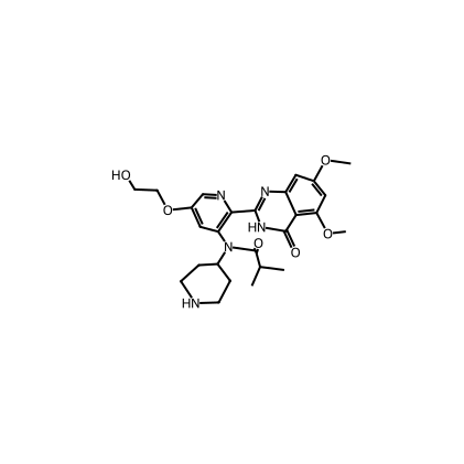 COc1cc(OC)c2c(=O)[nH]c(-c3ncc(OCCO)cc3N(C(=O)C(C)C)C3CCNCC3)nc2c1